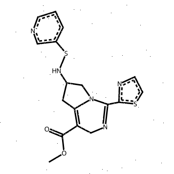 COC(=O)C1=C2CC(NSc3cccnc3)CN2C(c2nccs2)=NC1